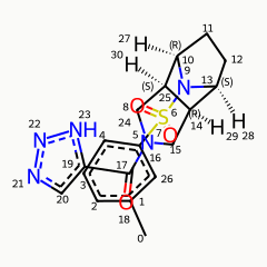 Cc1cccc(S(=O)(=O)N2[C@@H]3CC[C@H]2[C@H]2CN(C(=O)c4cnn[nH]4)C[C@H]23)c1